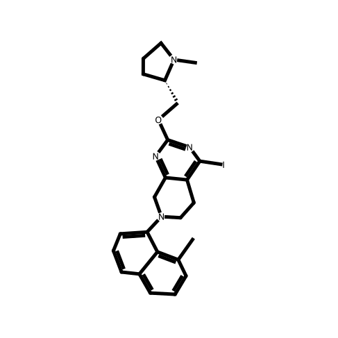 Cc1cccc2cccc(N3CCc4c(I)nc(OC[C@@H]5CCCN5C)nc4C3)c12